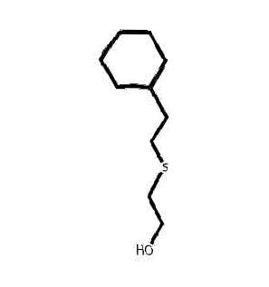 OCCSCCC1CCCCC1